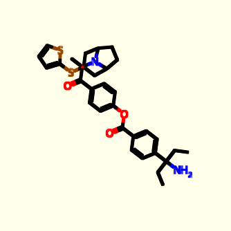 CCC(N)(CC)c1ccc(C(=O)Oc2ccc(C(=O)C(C)N3C4CCC3CC(Sc3cccs3)C4)cc2)cc1